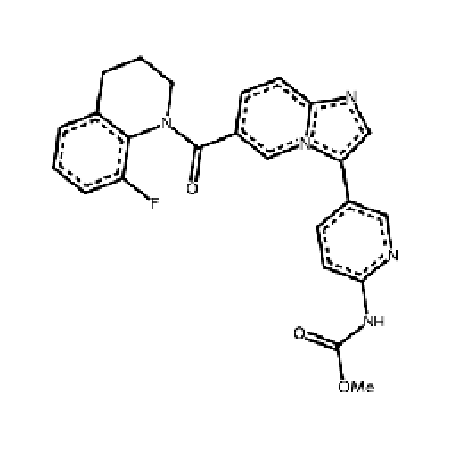 COC(=O)Nc1ccc(-c2cnc3ccc(C(=O)N4CCCc5cccc(F)c54)cn23)cn1